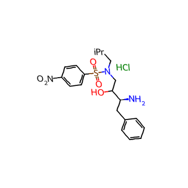 CC(C)CN(CC(O)[C@@H](N)Cc1ccccc1)S(=O)(=O)c1ccc([N+](=O)[O-])cc1.Cl